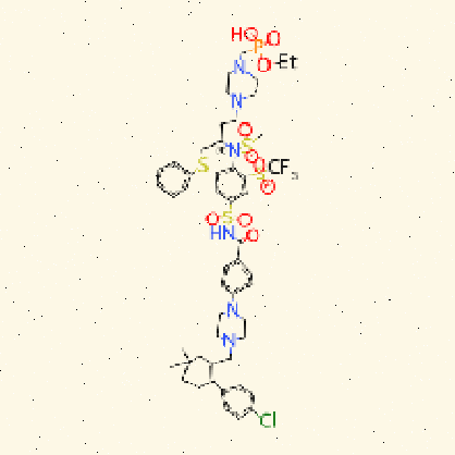 CCOP(=O)(O)CN1CCN(CC[C@H](CSc2ccccc2)N(c2ccc(S(=O)(=O)NC(=O)c3ccc(N4CCN(CC5=C(c6ccc(Cl)cc6)CCC(C)(C)C5)CC4)cc3)cc2S(=O)(=O)C(F)(F)F)S(C)(=O)=O)CC1